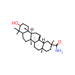 CC1(C(N)=O)CC[C@]2(C)CC[C@]3(C)C(=CC[C@@H]4[C@@]5(C)CC[C@H](O)C(C)(C)C5CC[C@]43C)[C@@H]2C1